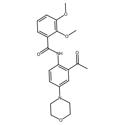 COc1cccc(C(=O)Nc2ccc(N3CCOCC3)cc2C(C)=O)c1OC